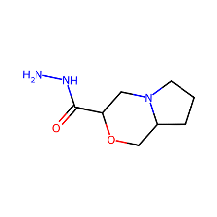 NNC(=O)C1CN2CCCC2CO1